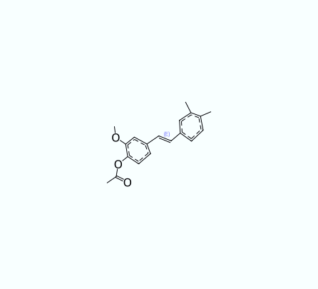 COc1cc(/C=C/c2ccc(C)c(C)c2)ccc1OC(C)=O